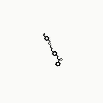 C=Cc1ccc(COCCCCc2ccc(C=CC(=O)c3ccccc3)cc2)cc1